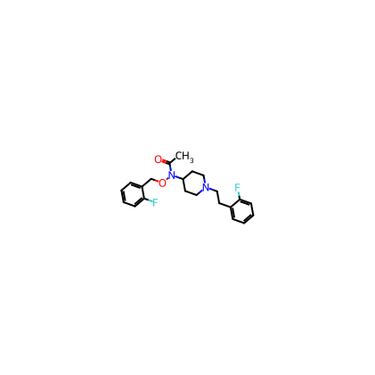 CC(=O)N(OCc1ccccc1F)C1CCN(CCc2ccccc2F)CC1